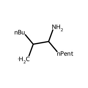 [CH2]C(CCCC)C(N)CCCCC